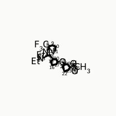 CCN(CC)Cc1nc2c(C(F)(F)F)cccn2c1-c1cccc(Oc2cccc(S(C)(=O)=O)c2)c1